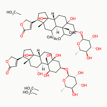 CC(=O)O.CC(=O)O.CC(=O)O.CC(=O)OC[C@]12C(OC(C)=O)CC(O[C@@H]3O[C@@H](C)[C@H](O)[C@@H](O)[C@H]3O)CC1(O)CC[C@@H]1[C@@H]2C(OC(C)=O)C[C@]2(C)[C@@H](C3=CC(=O)OC3)CC[C@]12O.C[C@@H]1O[C@@H](O[C@H]2C[C@@H](O)[C@]3(CO)[C@H]4[C@H](O)C[C@]5(C)[C@@H](C6=CC(=O)OC6)CC[C@]5(O)[C@@H]4CC[C@]3(O)C2)[C@H](O)[C@H](O)[C@H]1O